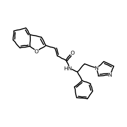 O=C(/C=C/c1cc2ccccc2o1)NC(Cn1ccnc1)c1ccccc1